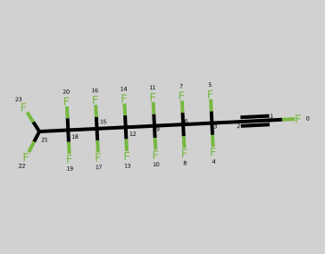 FC#CC(F)(F)C(F)(F)C(F)(F)C(F)(F)C(F)(F)C(F)(F)C(F)F